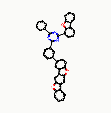 c1ccc(-c2nc(-c3cccc(-c4ccc5oc6cc7c(cc6c5c4)oc4ccccc47)c3)nc(-c3cccc4c3oc3ccccc34)n2)cc1